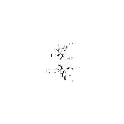 CCCCCCCCCCC[C@@H](O)CCO[C@@H]1[C@@H](NC(C)=O)[C@H](OC[C@H]2O[C@H](C(=O)O)[C@H](NC(=O)C[C@H](O)CCCCCCCCCCC)[C@@H](OCC[C@H](O)CCCCCCCCCCC)[C@@H]2O)O[C@H](CO)[C@H]1OP(=O)(O)O